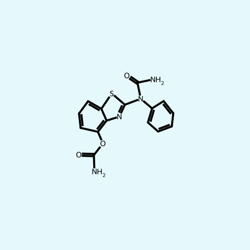 NC(=O)Oc1cccc2sc(N(C(N)=O)c3ccccc3)nc12